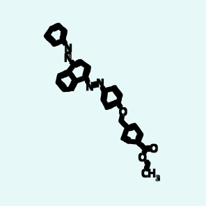 CCOC(=O)c1ccc(COc2ccc(N=Nc3ccc(N=Nc4ccccc4)c4ccccc34)cc2)cc1